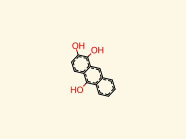 Oc1ccc2c(O)c3ccccc3cc2c1O